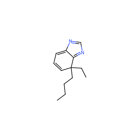 CCCCC1(CC)C=CC=C2N=CN=C21